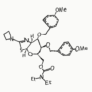 CCN(CC)C(=O)OC[C@H]1O[C@@H]2SC(N3CCC3)=N[C@@H]2[C@@H](OCc2ccc(OC)cc2)[C@H]1OCc1ccc(OC)cc1